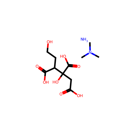 CN(C)C.N.O=C(O)CC(O)(C(=O)O)C(CCO)C(=O)O